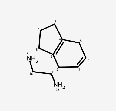 C1=CCC2=C(C1)CCC2.NCCN